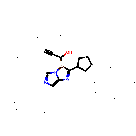 C#CC(O)[SH]1C(C2CCCC2)=Nc2cncn21